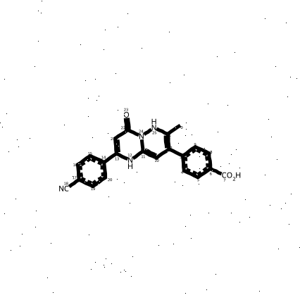 CC1=C(c2ccc(C(=O)O)cc2)C=C2NC(c3ccc(C#N)cc3)=CC(=O)N2N1